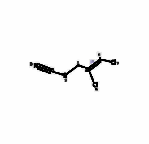 N#CSC/C(Cl)=I/Cl